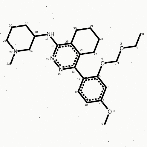 CCOCOc1cc(OC)ccc1-c1nnc(NC2CCCN(C)C2)c2c1CCCC2